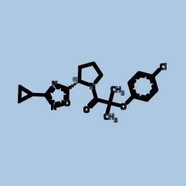 CC(C)(Oc1ccc(Cl)cc1)C(=O)N1CCC[C@H]1c1nc(C2CC2)no1